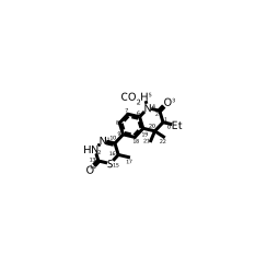 CCC1C(=O)N(C(=O)O)c2ccc(C3=NNC(=O)SC3C)cc2C1(C)C